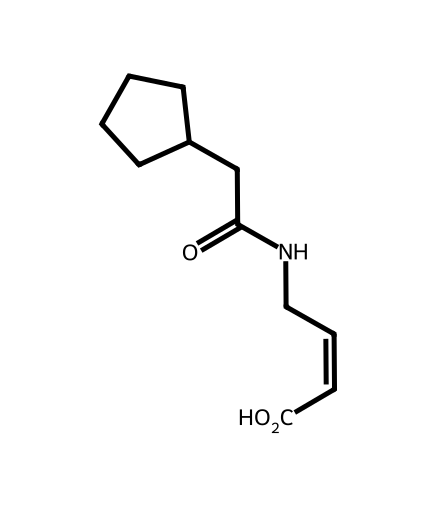 O=C(O)/C=C\CNC(=O)CC1CCCC1